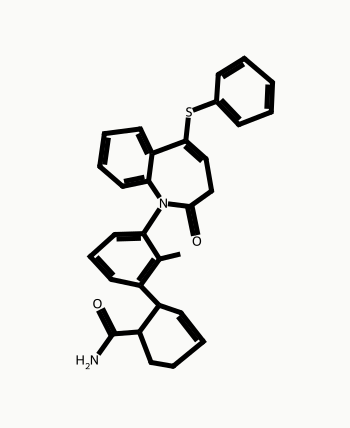 Cc1c(C2C=CCCC2C(N)=O)cccc1N1C(=O)CC=C(Sc2ccccc2)c2ccccc21